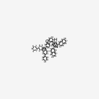 C1=C(c2ccccc2)CCc2c1c1cc(-c3ccccc3)ccc1n2-c1ccc2c(c1)oc1cccc(C3=NC(c4ccc5ccccc5c4)=NC(c4ccc5ccccc5c4)N3)c12